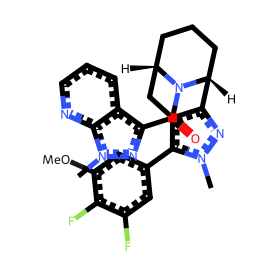 COc1cc(-c2c3c(nn2C)[C@H]2CCC[C@@H](C3)N2C(=O)c2nn(C)c3ncccc23)cc(F)c1F